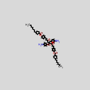 C=CCCCCCC1CCC(C(=O)Oc2ccc(C=CC(=O)CC(Cc3ccc(N)cc3)(Cc3ccc(N)cc3)C(O)(O)C(=O)C=Cc3ccc(OC(=O)C4CCC(CCCCCC=C)CC4)cc3)cc2)CC1